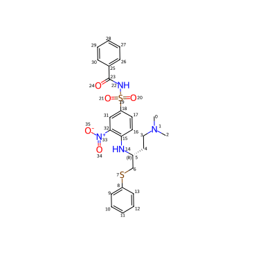 CN(C)CC[C@H](CSc1ccccc1)Nc1ccc(S(=O)(=O)NC(=O)c2ccccc2)cc1[N+](=O)[O-]